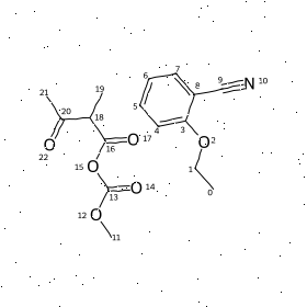 CCOc1ccccc1C#N.COC(=O)OC(=O)C(C)C(C)=O